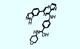 OC(NC1CCOCC1)c1ccc(Nc2nc(-c3ccc4cn[nH]c4c3)cn3ccnc23)cc1